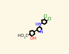 O=C(O)c1ccc(-c2cncc(Nc3ccc(Cl)c(Cl)c3)c2)cc1O